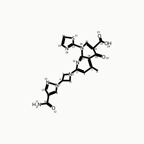 Cc1cc(N2CC(n3cc(C(N)=O)cn3)C2)nc2c1c(=O)c(C(=O)O)cn2-c1nccs1